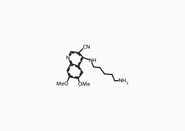 COc1cc2ncc(C#N)c(NCCCCCN)c2cc1OC